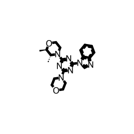 C[C@@H]1[C@@H](C)OCCN1c1nc(N2CCOCC2)nc(-n2cnc3ccccc32)n1